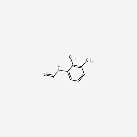 Cc1cccc(N[C]=O)c1C